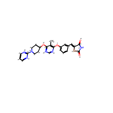 Cc1c(Oc2cccc(/C=C3\SC(=O)NC3=O)c2)ncnc1OC1CCN(c2ncccn2)CC1